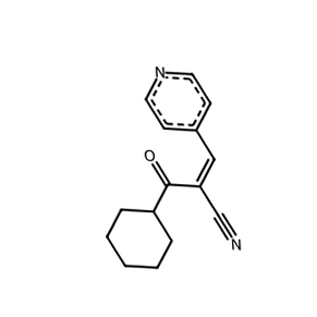 N#CC(=Cc1ccncc1)C(=O)C1CCCCC1